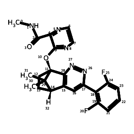 CNC(=O)c1nccnc1O[C@@]12CC[C@@H](c3cc(-c4c(F)cccc4F)nnc31)C2(C)C